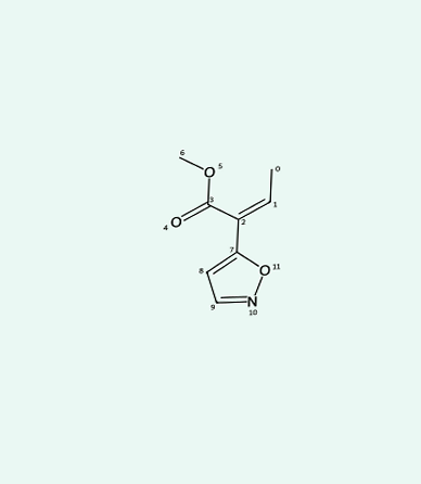 CC=C(C(=O)OC)c1ccno1